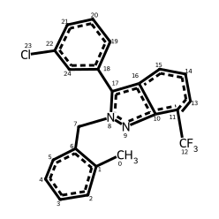 Cc1ccccc1Cn1nc2c(C(F)(F)F)cccc2c1-c1cccc(Cl)c1